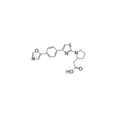 O=C(O)CC1CCCN1c1nc(-c2ccc(-c3cnco3)cc2)cs1